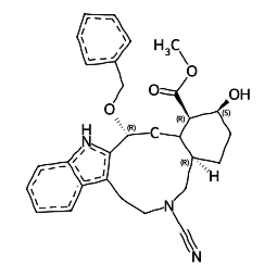 COC(=O)[C@@H]1C2C[C@@H](OCc3ccccc3)c3[nH]c4ccccc4c3CCN(C#N)C[C@@H]2CC[C@@H]1O